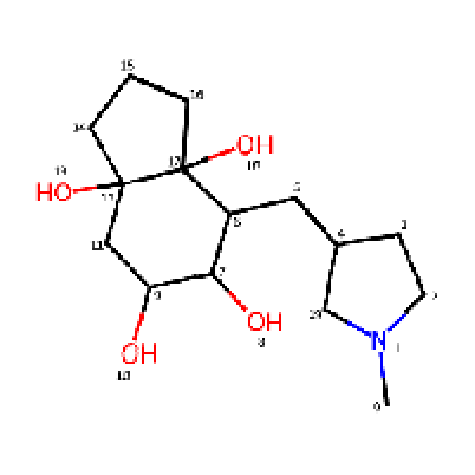 CN1CCC(CC2C(O)C(O)CC3(O)CCCC23O)C1